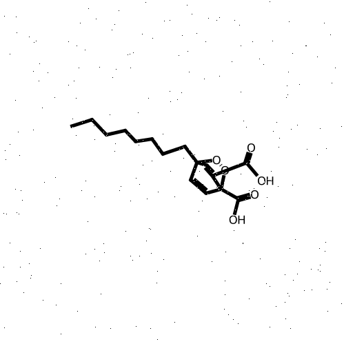 CCCCCCCCC12C=CC(C(=O)O)(OO1)C(C(=O)O)=C2